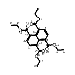 CCOC(=O)c1ccc(C(=O)OCC)c2c(C(=O)OCC)ccc(C(=O)OCC)c12